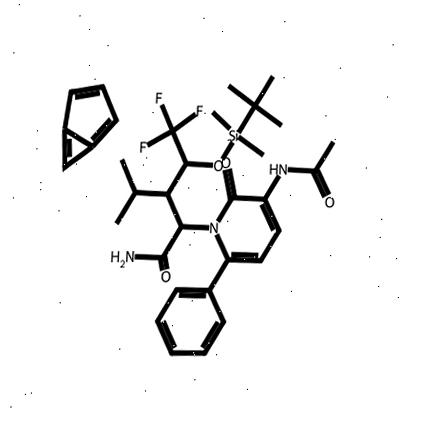 CC(=O)Nc1ccc(-c2ccccc2)n(C(C(N)=O)C(C(C)C)C(O[Si](C)(C)C(C)(C)C)C(F)(F)F)c1=O.c1cc2cc-2c1